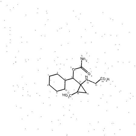 NC(=O)OC(C1CCCCC1)C1(NCC(=O)O)CC1C(=O)O